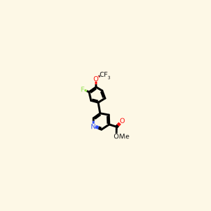 COC(=O)c1cncc(-c2ccc(OC(F)(F)F)c(F)c2)c1